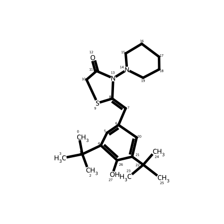 CC(C)(C)c1cc(C=C2SCC(=O)N2N2CCCCC2)cc(C(C)(C)C)c1O